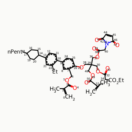 C=C(C)C(=O)OCc1cc(-c2ccc(C3CCC(CCCCC)CC3)cc2CC)ccc1OCC(COC(=O)CC(=O)OCC)(COC(=O)CN1C(=O)C=CC1=O)COC(=O)C(=C)C